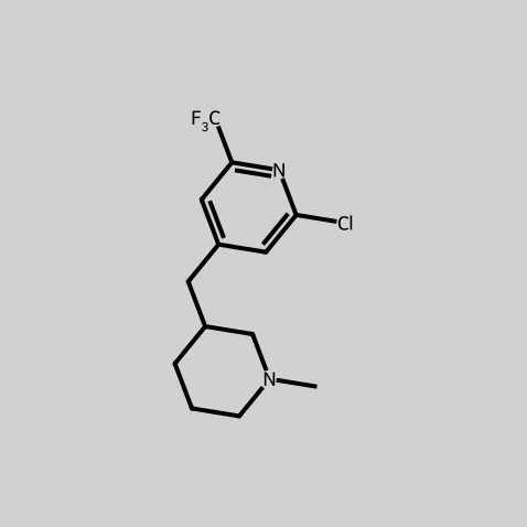 CN1CCCC(Cc2cc(Cl)nc(C(F)(F)F)c2)C1